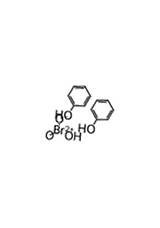 Oc1ccccc1.Oc1ccccc1.[O-][Br+2]([O-])O